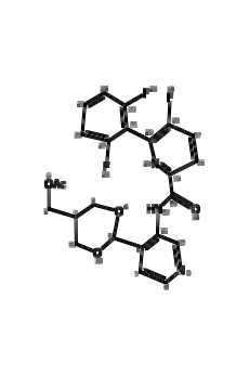 CC(=O)OCC1COC(c2ccncc2NC(=O)c2ccc(F)c(-c3c(F)cccc3F)n2)OC1